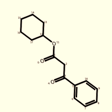 O=C(CC(=O)c1ccccc1)OC1CCCCC1